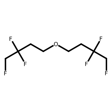 FCC(F)(F)CCOCCC(F)(F)CF